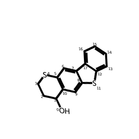 OC1CCSc2cc3c(cc21)sc1ccccc13